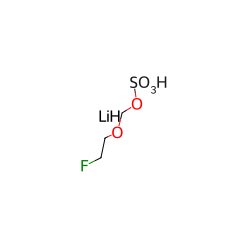 O=S(=O)(O)OCOCCF.[LiH]